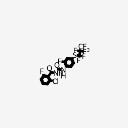 O=C(NC(=O)c1c(F)cccc1Cl)Nc1ccc(SC(F)(F)C(F)(F)C(F)(F)F)cc1F